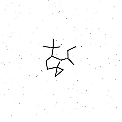 CCC(C)N1C(C(C)(C)C)CCC12CC2